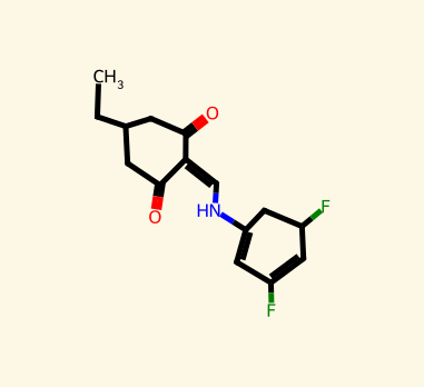 CCC1CC(=O)C(=CNC2=CC(F)=CC(F)C2)C(=O)C1